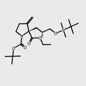 C=C1CCN(C(=O)OC(C)(C)C)[C@@]1(C[C@@H](F)CO[Si](C)(C)C(C)(C)C)C(=O)OCC